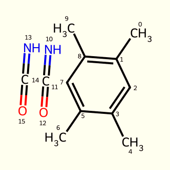 Cc1cc(C)c(C)cc1C.N=C=O.N=C=O